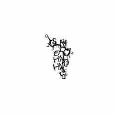 Cc1ccc(C2=C3C(=O)c4c(NC(=O)NN5CCOCC5)cccc4C3N=N2)s1